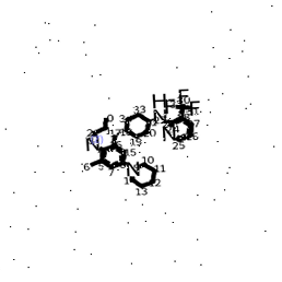 CC/C=N\c1c(C)cc(N2CCCCC2)cc1C[C@H]1CC[C@@H](Nc2ncccc2C(F)(F)F)CC1